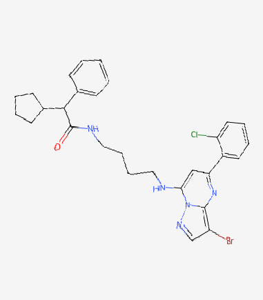 O=C(NCCCCNc1cc(-c2ccccc2Cl)nc2c(Br)cnn12)C(c1ccccc1)C1CCCC1